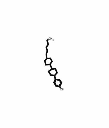 CCCCCCC1CCC(C2CCC(c3ccc(O)cc3)CC2)CC1